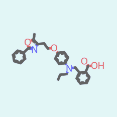 CCCN(Cc1ccccc1C(=O)O)c1ccc(OCCc2nc(-c3ccccc3)oc2C)cc1